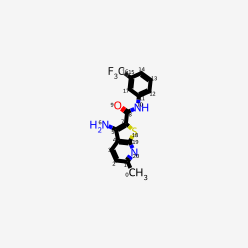 Cc1ccc2c(N)c(C(=O)Nc3cccc(C(F)(F)F)c3)sc2n1